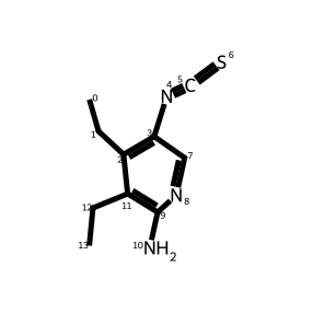 CCc1c(N=C=S)cnc(N)c1CC